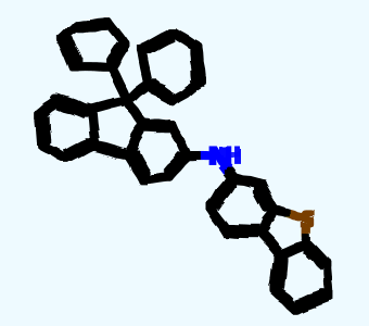 c1ccc(C2(c3ccccc3)c3ccccc3-c3ccc(Nc4ccc5c(c4)sc4ccccc45)cc32)cc1